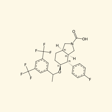 CC(O[C@H]1CC[C@H]2CN(C(=O)O)C[C@H]2[C@@H]1c1ccc(F)cc1)c1cc(C(F)(F)F)cc(C(F)(F)F)c1